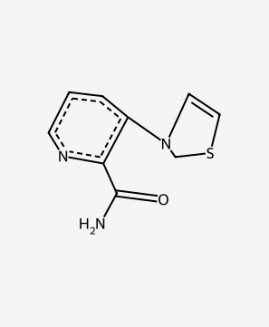 NC(=O)c1ncccc1N1C=CSC1